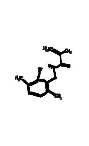 C=C(C)C(=O)NCc1c(C)ccc(C)c1Br